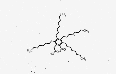 CCCCCCCCc1c(CCCCCCCC)c(CCCCCCCC)c(I(=O)=O)c(CC(=O)O)c1CCCCCCCC